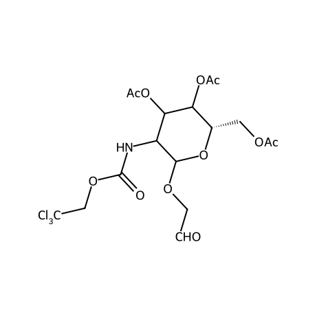 CC(=O)OC[C@@H]1OC(OCC=O)C(NC(=O)OCC(Cl)(Cl)Cl)C(OC(C)=O)C1OC(C)=O